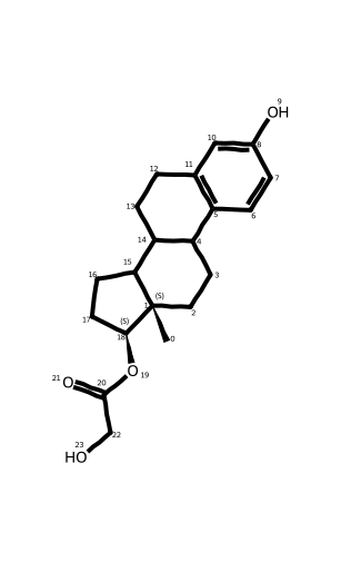 C[C@]12CCC3c4ccc(O)cc4CCC3C1CC[C@@H]2OC(=O)CO